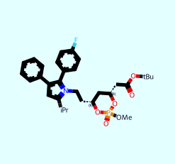 COP1(=O)O[C@H](CCn2c(C(C)C)cc(-c3ccccc3)c2-c2ccc(F)cc2)C[C@H](CC(=O)OC(C)(C)C)O1